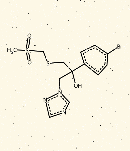 CS(=O)(=O)CSCC(O)(Cn1cncn1)c1ccc(Br)cc1